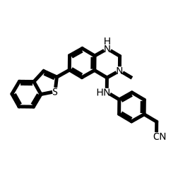 CN1CNc2ccc(-c3cc4ccccc4s3)cc2C1Nc1ccc(CC#N)cc1